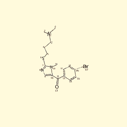 CN(C)CCCSc1ncc(C(=O)c2ccc(Br)cc2)n1C